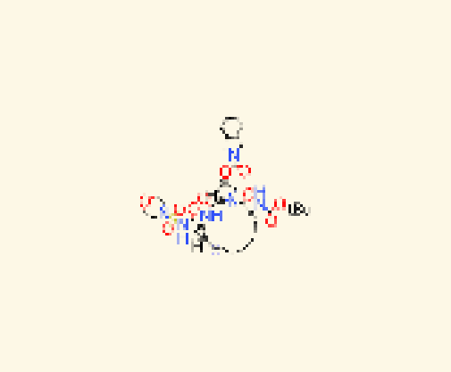 CC(C)(C)OC(=O)N[C@H]1CCCCC/C=C/[C@@H]2C[C@@]2(C(=O)NS(=O)(=O)N2CCOCC2)NC(=O)[C@@H]2C[C@@H](OC(=O)N3Cc4ccccc4C3)CN2C1=O